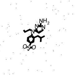 CCCN(c1ccnc(N)n1)c1ccc(S(C)(=O)=O)cc1CC(C)C